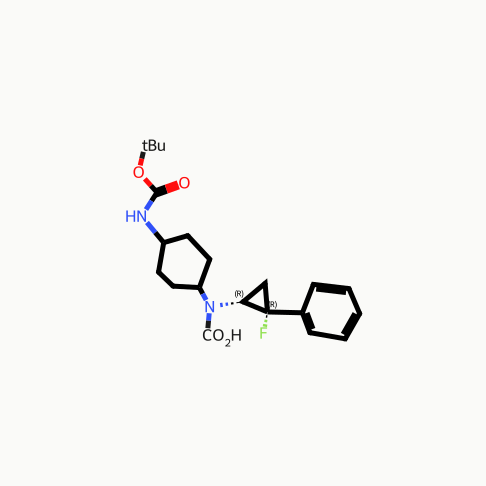 CC(C)(C)OC(=O)NC1CCC(N(C(=O)O)[C@@H]2C[C@@]2(F)c2ccccc2)CC1